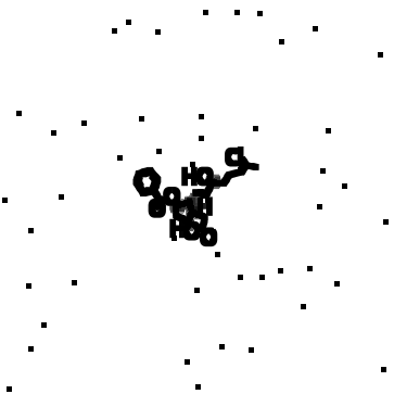 CC(Cl)=CCC[C@H](O)C=C[C@@H]1[C@H]2CC(=O)O[C@H]2C[C@H]1OC(=O)c1ccccc1